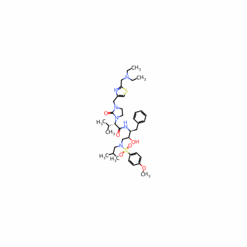 CCN(CC)Cc1nc(CN2CCN([C@H](C(=O)N[C@@H](Cc3ccccc3)[C@@H](O)CN(CC(C)C)S(=O)(=O)c3ccc(OC)cc3)C(C)C)C2=O)cs1